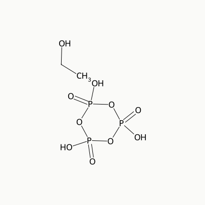 CCO.O=P1(O)OP(=O)(O)OP(=O)(O)O1